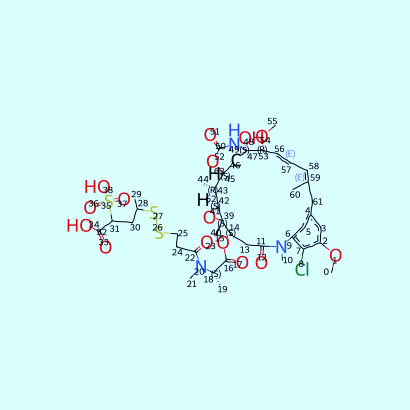 COc1cc2cc(c1Cl)N(C)C(=O)C[C@H](OC(=O)[C@H](C)N(C)C(=O)CCSSC(C)CC(C(=O)O)S(=O)(=O)O)[C@]1(C)O[C@H]1[C@H](C)[C@@H]1C[C@@](O)(NC(=O)O1)[C@H](OC)/C=C/C=C(\C)C2